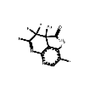 CCC(C)C1(C(N)=O)c2c(ncc(F)c2F)N=C(F)C1(F)F